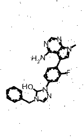 Cn1cc(-c2ccc(N3N=CN(Cc4ccccc4)C3O)cc2F)c2c(N)ncnc21